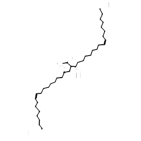 CCCCCCCC/C=C\CCCCCCCC(=O)C(O)C(C(=O)CCCCCCC/C=C\CCCCCCCC)C(O)Cl